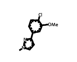 COc1cc(-c2ccn(C)n2)ccc1Cl